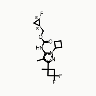 Cc1c(C2(C)CC(F)(F)C2)nn(C2CCC2)c1NC(=O)OC[C@H]1C[C@@H]1F